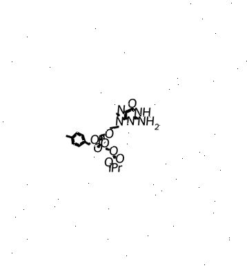 Cc1ccc(COP(=O)(COCCn2cnc3c(=O)[nH]c(N)nc32)OCOC(=O)OC(C)C)cc1